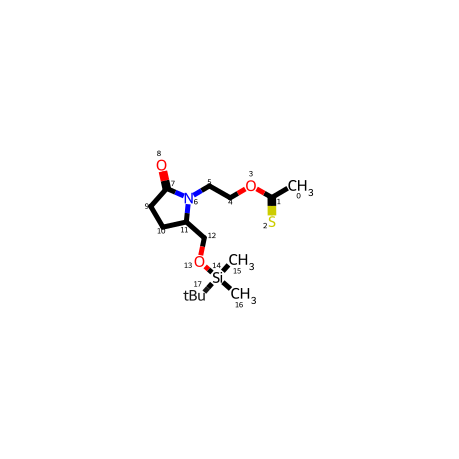 CC(=S)OCCN1C(=O)CCC1CO[Si](C)(C)C(C)(C)C